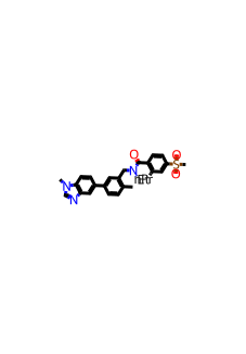 CCCN(Cc1cc(-c2ccc3c(c2)ncn3C)ccc1C)C(=O)c1ccc(S(C)(=O)=O)cc1CC